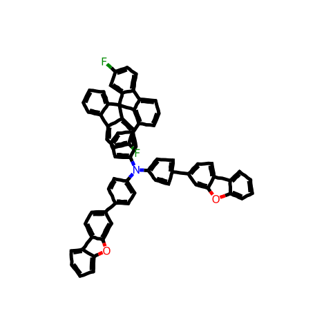 Fc1ccc2c(c1)C1(c3ccccc3-2)c2cc(F)ccc2-c2cccc(-c3cccc(N(c4ccc(-c5ccc6c(c5)oc5ccccc56)cc4)c4ccc(-c5ccc6c(c5)oc5ccccc56)cc4)c3)c21